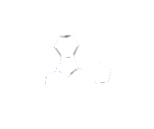 FC(F)(F)Cn1cc([S+]2CCCC2)c2ccccc21